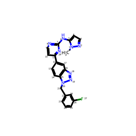 Cn1nccc1Nc1nccc(-c2ccc3c(c2)nnn3Cc2cccc(F)c2)n1